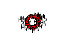 CC(C)C[C@@H]1NC(=O)[C@H](Cc2cnc[nH]2)NC(=O)[C@@H]2CCCN2C(=O)[C@H](CC(N)=O)NC(=O)[C@H](C)N(C)C(=O)[C@H](Cc2ccccc2)NC(=O)CSC[C@@H](C(=O)NCC(N)=O)NC(=O)[C@H](CCCNC(=N)N)NC(=O)[C@@H]2CCCC/C=C/CCCC[C@@H](C(=O)N2C)N(C)C(=O)[C@H](Cc2c[nH]c3ccccc23)NC(=O)[C@H](CO)NC(=O)[C@H](Cc2c[nH]c3ccccc23)NC(=O)CN(C)C1=O